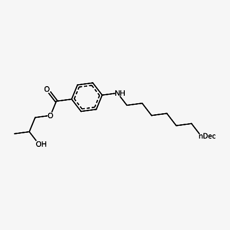 CCCCCCCCCCCCCCCCNc1ccc(C(=O)OCC(C)O)cc1